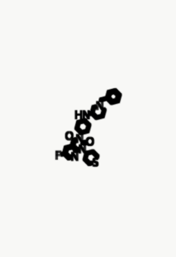 O=c1c2cc(F)cnc2n(C2CCSCC2)c(=O)n1C1CCC(NC2CCCN(Cc3ccccc3)C2)CC1